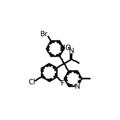 C/C(=N/O)C(c1ccc(Br)cc1)(c1ccnc(C)c1)c1ccc(Cl)cc1F